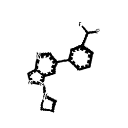 FC(F)c1cccc(-c2cnc3cnn(N4CCC4)c3c2)c1